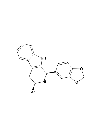 CC(=O)[C@H]1Cc2c([nH]c3ccccc23)[C@@H](c2ccc3c(c2)OCO3)N1